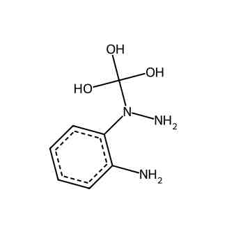 Nc1ccccc1N(N)C(O)(O)O